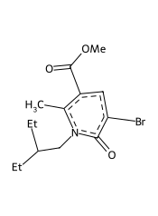 CCC(CC)Cn1c(C)c(C(=O)OC)cc(Br)c1=O